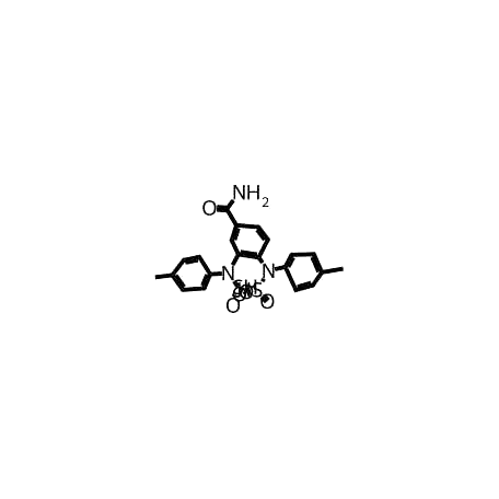 Cc1ccc(N(c2ccc(C(N)=O)cc2N(c2ccc(C)cc2)[SH](=O)=O)[SH](=O)=O)cc1